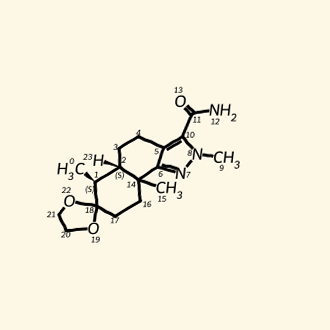 C[C@H]1[C@@H]2CCc3c(nn(C)c3C(N)=O)C2(C)CCC12OCCO2